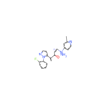 C=C(C(=O)/C=C\N(N)c1ccnc(C)c1)c1ccnn1-c1ccccc1F